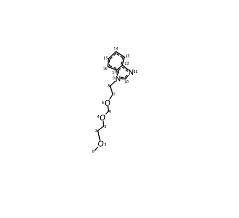 COCCOCOCCn1cnc2ccccc21